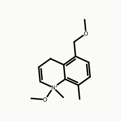 COCc1ccc(C)c2c1[CH]C=C[N+]2(C)OC